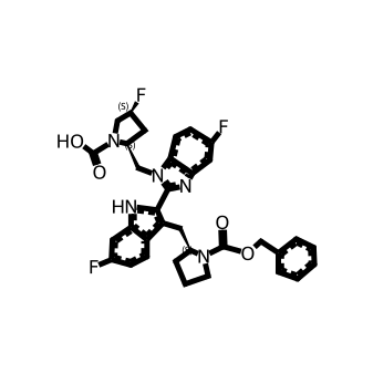 O=C(O)N1C[C@@H](F)C[C@H]1Cn1c(-c2[nH]c3cc(F)ccc3c2C[C@@H]2CCCN2C(=O)OCc2ccccc2)nc2cc(F)ccc21